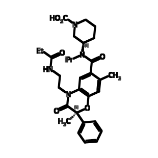 CCC(=O)NCCN1C(=O)[C@](C)(c2ccccc2)Oc2cc(C)c(C(=O)N(C(C)C)[C@@H]3CCCN(C(=O)O)C3)cc21